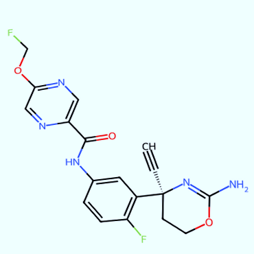 C#C[C@@]1(c2cc(NC(=O)c3cnc(OCF)cn3)ccc2F)CCOC(N)=N1